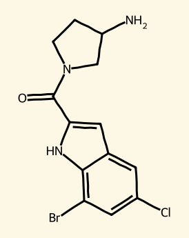 NC1CCN(C(=O)c2cc3cc(Cl)cc(Br)c3[nH]2)C1